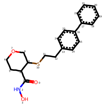 O=C(NO)C1CCOCC1SCCc1ccc(-c2ccccc2)cc1